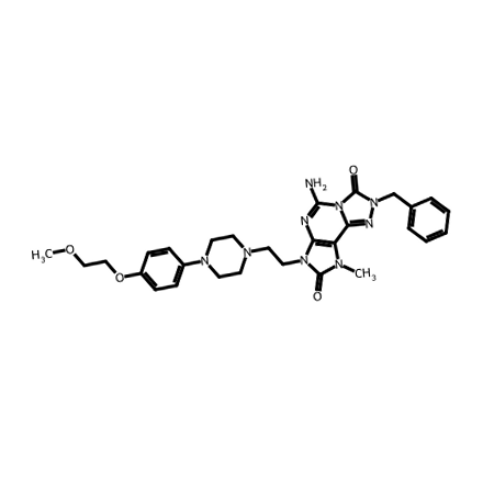 COCCOc1ccc(N2CCN(CCn3c(=O)n(C)c4c3nc(N)n3c(=O)n(Cc5ccccc5)nc43)CC2)cc1